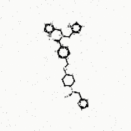 CCCN(Cc1cccs1)[C@H]1CC[C@H](NCc2ccc(C(=O)N(Cc3ncc[nH]3)Cc3ncc[nH]3)cc2)CC1